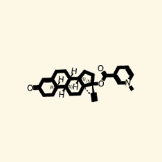 C#C[C@]1(OC(=O)C2=CN(C)C=CC2)CC[C@H]2[C@@H]3CCC4=CC(=O)CC[C@@H]4[C@H]3CC[C@@]21C